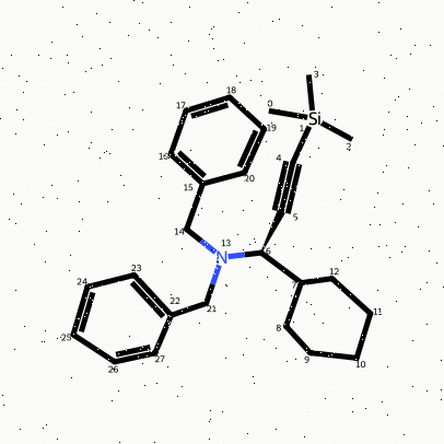 C[Si](C)(C)C#C[C@@H](C1CCCCC1)N(Cc1ccccc1)Cc1ccccc1